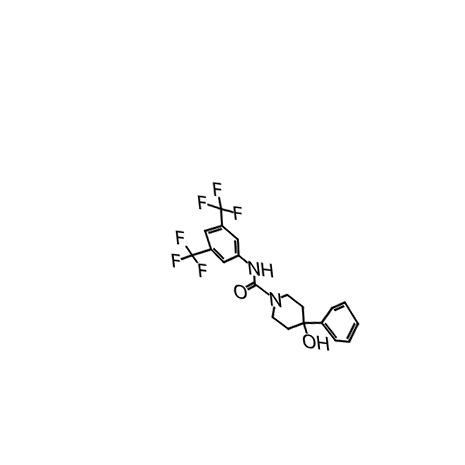 O=C(Nc1cc(C(F)(F)F)cc(C(F)(F)F)c1)N1CCC(O)(c2ccccc2)CC1